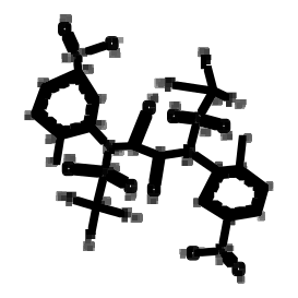 Cc1ccc([N+](=O)[O-])cc1N(C(=O)C(=O)N(c1cc([N+](=O)[O-])ccc1C)S(=O)(=O)C(F)(F)F)S(=O)(=O)C(F)(F)F